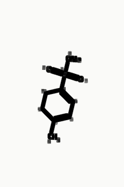 COS(=O)(=O)C1=CC=C(C)CC1